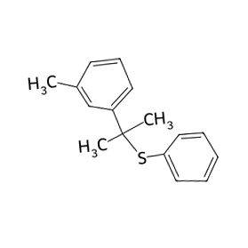 Cc1cccc(C(C)(C)Sc2ccccc2)c1